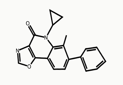 Cc1c(-c2ccccc2)ccc2c3ocnc3c(=O)n(C3CC3)c12